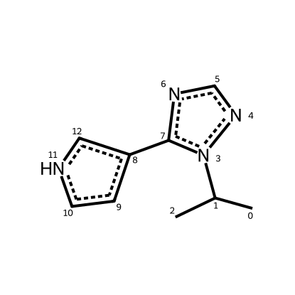 CC(C)n1ncnc1-c1cc[nH]c1